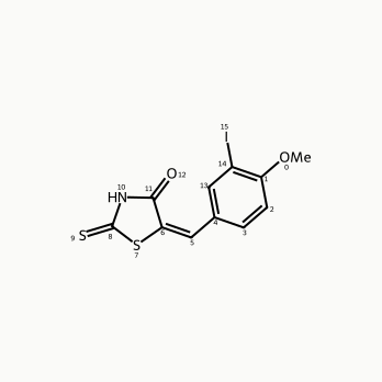 COc1ccc(C=C2SC(=S)NC2=O)cc1I